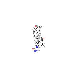 CC1(C)CC[C@]2(CN3CCNC3=O)CC[C@]3(C)[C@H](C(=O)C=C4[C@@]5(C)C=C(C#N)C(=O)C(C)(C)[C@@H]5CC[C@]43C)[C@@H]2C1